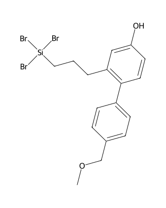 COCc1ccc(-c2ccc(O)cc2CCC[Si](Br)(Br)Br)cc1